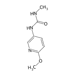 CNC(=O)Nc1ccc(OC)nc1